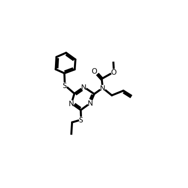 C=CCN(C(=O)OC)c1nc(SCC)nc(Sc2ccccc2)n1